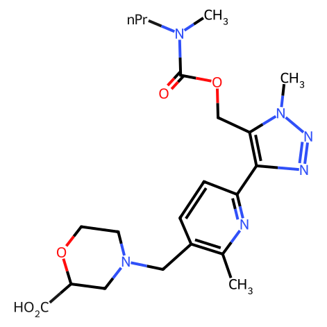 CCCN(C)C(=O)OCc1c(-c2ccc(CN3CCOC(C(=O)O)C3)c(C)n2)nnn1C